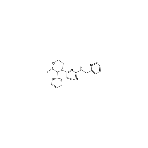 O=C1NCCN(c2ccnc(NCc3ccccn3)n2)C1c1ccccc1